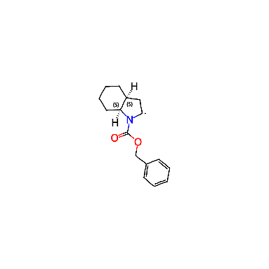 O=C(OCc1ccccc1)N1[CH]C[C@@H]2CCCC[C@@H]21